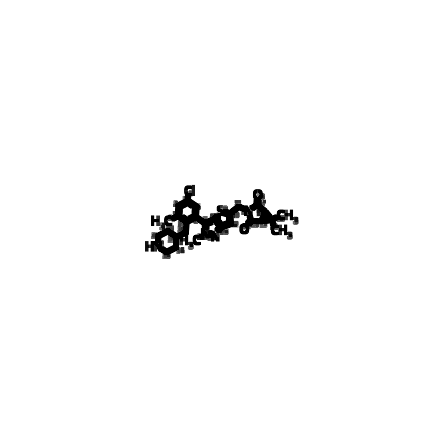 Cc1cc(Cl)cc(-c2c3sc(CN4C(=O)C5C(C4=O)C5(C)C)cc3nn2C)c1CC1CCNCC1